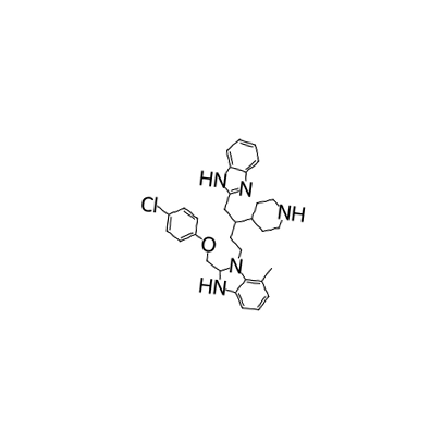 Cc1cccc2c1N(CCC(Cc1nc3ccccc3[nH]1)C1CCNCC1)C(COc1ccc(Cl)cc1)N2